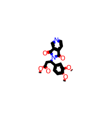 COC(=O)CC(c1ccc(OC)c(OC)c1)N1C(=O)c2ccncc2C1=O